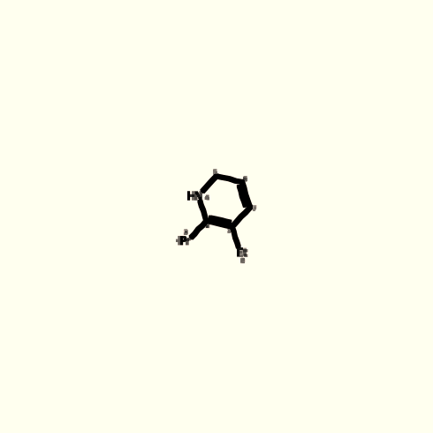 CCC1=C([C](C)C)NCC=C1